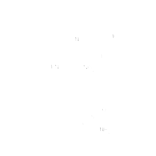 NS(=O)(=O)c1ccc(NC2CCN(CC(F)F)C2)c([N+](=O)[O-])c1